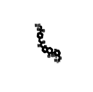 CCS(=O)(=O)c1ccc(CC(=O)Nc2ccc3c(n2)CCC(C)(c2cc(OC)ccn2)C3=O)cc1